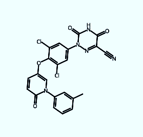 Cc1cccc(-n2cc(Oc3c(Cl)cc(-n4nc(C#N)c(=O)[nH]c4=O)cc3Cl)ccc2=O)c1